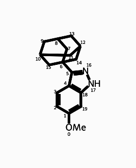 COc1ccc2c(C34CC5CC(CC(C5)C3)C4)n[nH]c2c1